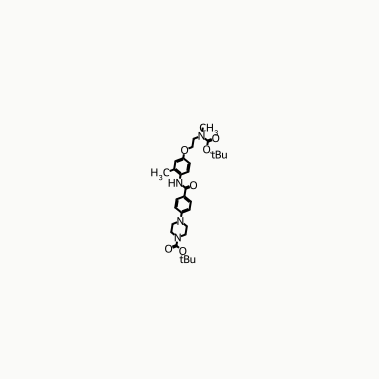 Cc1cc(OCCN(C)C(=O)OC(C)(C)C)ccc1NC(=O)c1ccc(N2CCN(C(=O)OC(C)(C)C)CC2)cc1